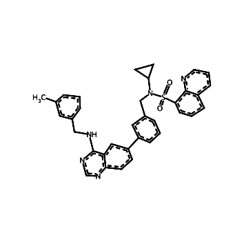 Cc1cccc(CNc2ncnc3ccc(-c4cccc(CN(C5CC5)S(=O)(=O)c5cccc6cccnc56)c4)cc23)c1